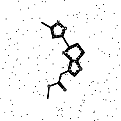 COC(=O)Cc1coc2ccc(-c3cc(C)no3)nc12